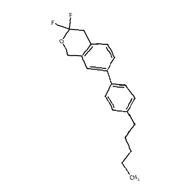 CCCCCc1ccc(-c2ccc3c(c2)COC(F)(F)C3)cc1